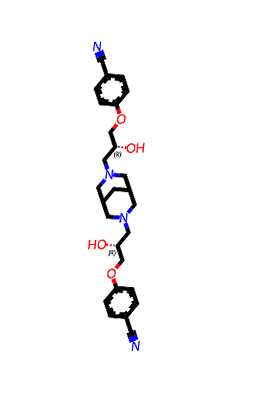 N#Cc1ccc(OC[C@H](O)CN2CC3CC(C2)CN(C[C@@H](O)COc2ccc(C#N)cc2)C3)cc1